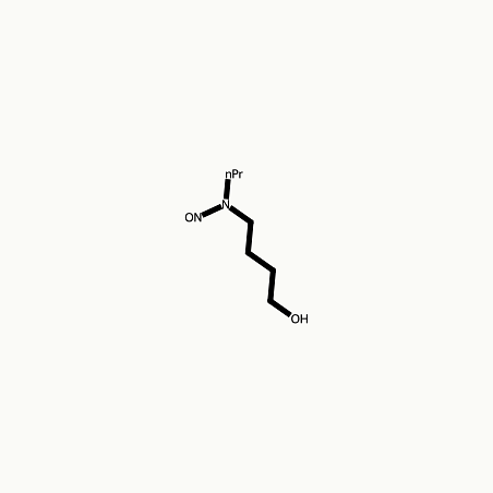 CCCN(CCCCO)N=O